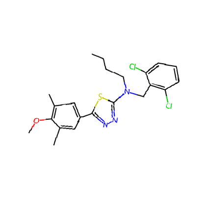 CCCCN(Cc1c(Cl)cccc1Cl)c1nnc(-c2cc(C)c(OC)c(C)c2)s1